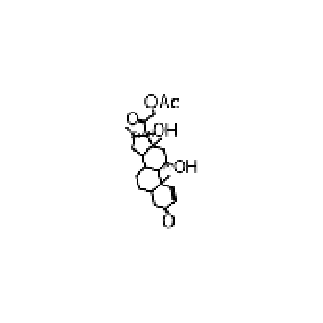 CC(=O)OCC(=O)[C@@]1(O)[C@H](C)CC2C3CCC4CC(=O)C=CC4(C)C3[C@H](O)CC21C